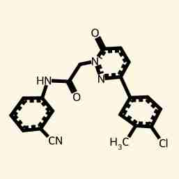 Cc1cc(-c2ccc(=O)n(CC(=O)Nc3cccc(C#N)c3)n2)ccc1Cl